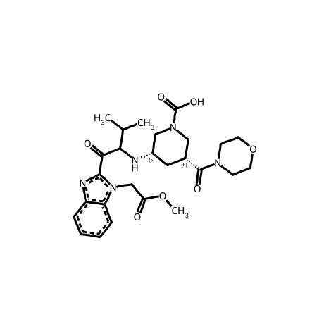 COC(=O)Cn1c(C(=O)C(N[C@H]2C[C@@H](C(=O)N3CCOCC3)CN(C(=O)O)C2)C(C)C)nc2ccccc21